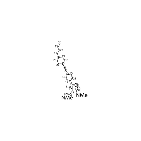 C=C(NC)C(C(=O)NC)N(C)C(=O)c1ccc(C#Cc2ccc(C/C=C/C)cc2)cc1